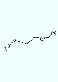 COCCO[SiH3]